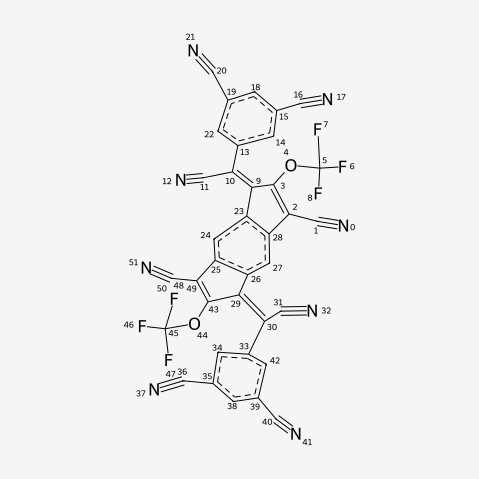 N#CC1=C(OC(F)(F)F)/C(=C(/C#N)c2cc(C#N)cc(C#N)c2)c2cc3c(cc21)/C(=C(\C#N)c1cc(C#N)cc(C#N)c1)C(OC(F)(F)F)=C3C#N